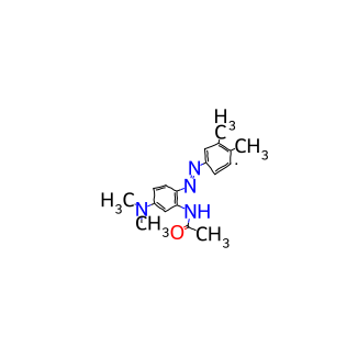 CC(=O)Nc1cc(N(C)C)ccc1N=Nc1c[c]c(C)c(C)c1